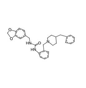 O=C(NCc1ccc2c(c1)OCO2)Nc1ccccc1CN1CCC(Cc2ccccc2)CC1